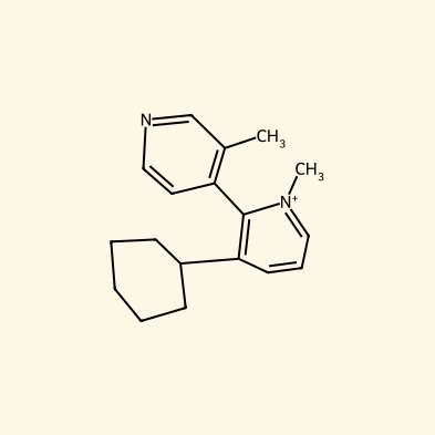 Cc1cnccc1-c1c(C2CCCCC2)ccc[n+]1C